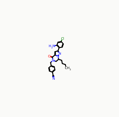 CCCCC1CN(Cc2ccc(C#N)cc2)C(=O)c2cc(-c3ccc(Cl)cc3N)nn21